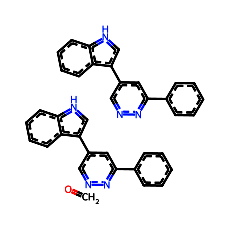 C=O.c1ccc(-c2cc(-c3c[nH]c4ccccc34)cnn2)cc1.c1ccc(-c2cc(-c3c[nH]c4ccccc34)cnn2)cc1